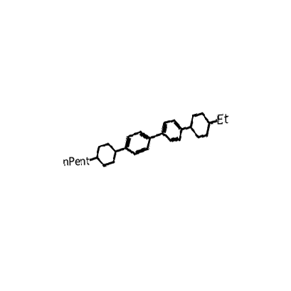 CCCCCC1CCC(c2ccc(-c3ccc(C4CCC(CC)CC4)cc3)cc2)CC1